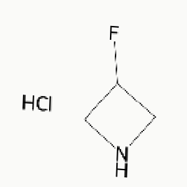 Cl.FC1CNC1